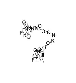 Cc1ccc(Nc2c(C(=O)NOCCOCCOCCN(C)CCN(C)CCOCCOCCC(=O)N3CCN(c4nc(N5CCOCC5)nc(-n5c(C(F)F)nc6ccccc65)n4)CC3)ccc(F)c2F)c(F)c1